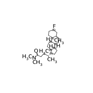 CC(CCC(=O)N(C)C)[C@H]1CC[C@H]2[C@@H]3CC=C4C[C@@H](F)CC[C@]4(C)[C@H]3CC[C@]12C